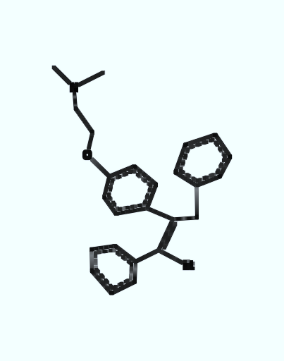 CC/C(=C(\Cc1ccccc1)c1ccc(OCCN(C)C)cc1)c1ccccc1